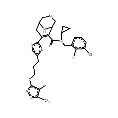 Cc1c(OCCCc2csc(C3=C(C(=O)N(Cc4cccc(Cl)c4Cl)C4CC4)C4CNCC(C3)N4)n2)noc1C(F)(F)F